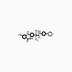 CC(C)(C(=O)Nc1ccc(N2CCOCC2)cc1)c1ccc2c(c1)NC(=O)c1ccc(Cl)cc1N2